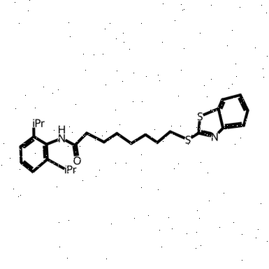 CC(C)c1cccc(C(C)C)c1NC(=O)CCCCCCCSc1nc2ccccc2s1